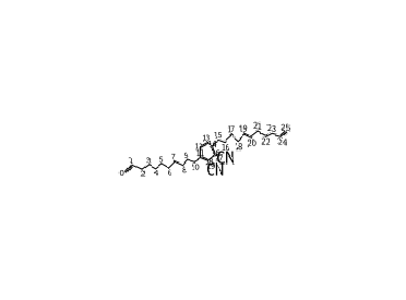 C=CCCCCCCCCCc1ccc(CCCCCCCCCC=C)c(C#N)c1C#N